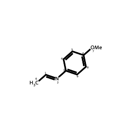 CC=Nc1ccc(OC)cc1